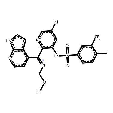 Cc1ccc(S(=O)(=O)Nc2cc(Cl)cnc2/C(=N/COC(C)C)c2ccnc3[nH]ccc23)cc1C(F)(F)F